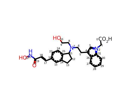 O=C(O)Cn1cc(CCN(CCO)C2CCc3cc(/C=C/C(=O)NO)ccc32)c2ccccc21